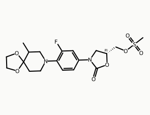 CC1CN(c2ccc(N3C[C@H](COS(C)(=O)=O)OC3=O)cc2F)CCC12OCCO2